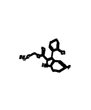 CCOC(=O)c1[nH]c2ccc(F)cc2c1-c1ccccc1Cl